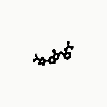 O=C1c2cc(-c3nnc(C(F)F)o3)cnc2CN1Cc1ccccc1OC(F)F